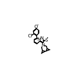 COc1ccc(-c2cccc3c(N(CC4CC4)CC4CC4)c(SC)nn23)c(Cl)c1